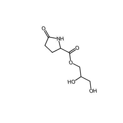 O=C1CCC(C(=O)OCC(O)CO)N1